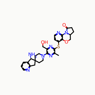 Cc1nc(N2CCC3(CC2)Cc2ncccc2[C@H]3N)c(CO)nc1Sc1ccnc2c1OCC1CCC(=O)N21